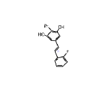 CC(C)c1c(O)cc(/C=C/c2ccccc2F)cc1O